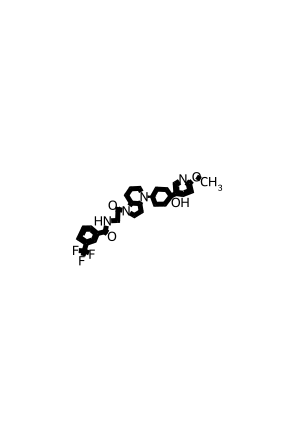 COc1ccc([C@]2(O)CC[C@H](N3CCCC4C3CCN4C(=O)CNC(=O)c3cccc(C(F)(F)F)c3)CC2)cn1